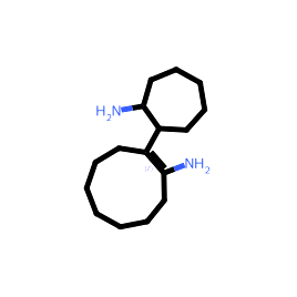 N/C1=C(\C2CCCCCC2N)CCCCCCC1